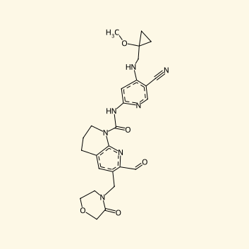 COC1(CNc2cc(NC(=O)N3CCCc4cc(CN5CCOCC5=O)c(C=O)nc43)ncc2C#N)CC1